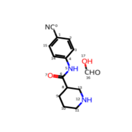 N#Cc1ccc(NC(=O)C2CCCNC2)cc1.O=CO